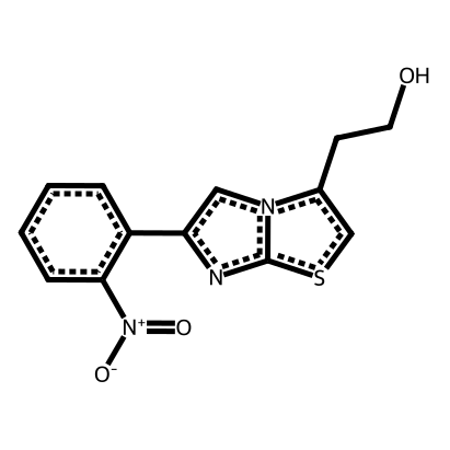 O=[N+]([O-])c1ccccc1-c1cn2c(CCO)csc2n1